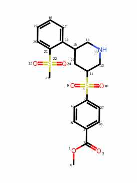 COC(=O)c1ccc(S(=O)(=O)C2CNCC(c3ccccc3S(C)(=O)=O)C2)cc1